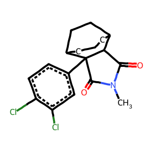 CN1C(=O)C2C3CCCC(CC3)C2(c2ccc(Cl)c(Cl)c2)C1=O